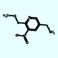 COSc1ncc(CN)cc1[N+](=O)[O-]